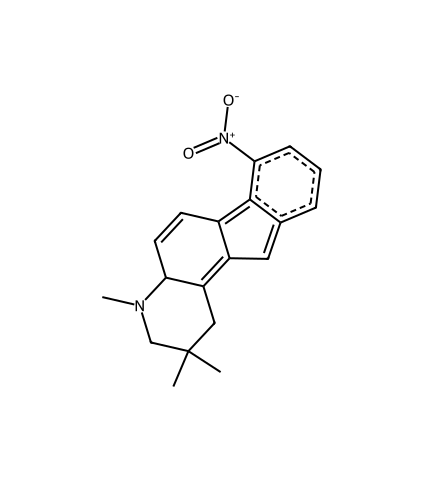 CN1CC(C)(C)CC2=C3C=c4cccc([N+](=O)[O-])c4=C3C=CC21